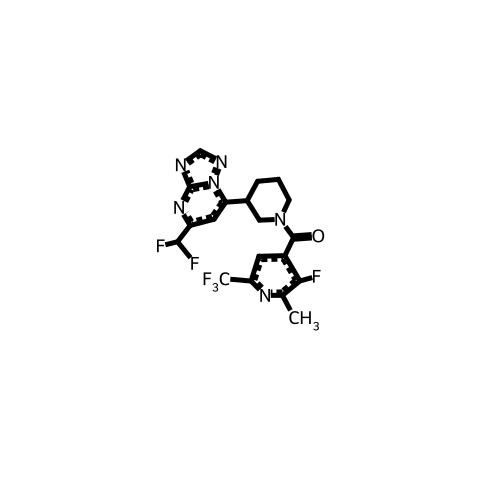 Cc1nc(C(F)(F)F)cc(C(=O)N2CCCC(c3cc(C(F)F)nc4ncnn34)C2)c1F